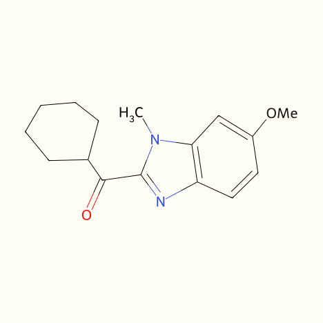 COc1ccc2nc(C(=O)C3CCCCC3)n(C)c2c1